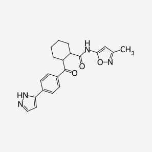 Cc1cc(NC(=O)C2CCCCC2C(=O)c2ccc(-c3ccn[nH]3)cc2)on1